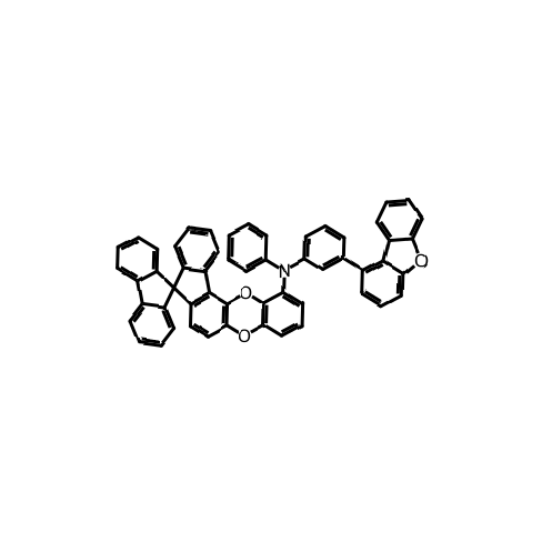 c1ccc(N(c2cccc(-c3cccc4oc5ccccc5c34)c2)c2cccc3c2Oc2c(ccc4c2-c2ccccc2C42c4ccccc4-c4ccccc42)O3)cc1